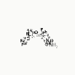 NS(=O)(=O)N1CCC2(CC1)C(COc1ccnc(OCC(F)(F)F)c1)C2(F)F